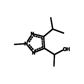 CC(C)c1nn(C)nc1C(C)O